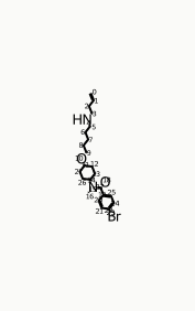 C=CCCNCCCCCOC1CCC(N(C)C(=O)c2ccc(Br)cc2)CC1